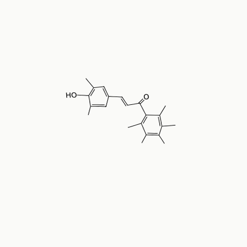 Cc1cc(C=CC(=O)c2c(C)c(C)c(C)c(C)c2C)cc(C)c1O